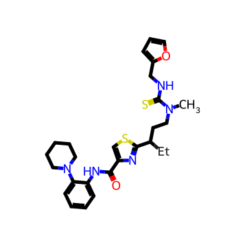 CCC(CCN(C)C(=S)NCc1ccco1)c1nc(C(=O)Nc2ccccc2N2CCCCC2)cs1